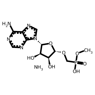 COP(=O)(O)CO[C@H]1O[C@@H](n2cnc3c(N)ncnc32)[C@H](O)[C@@H]1O.N